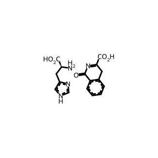 N[C@@H](Cc1c[nH]cn1)C(=O)O.O=C(O)C1=NC(=O)c2ccccc2C1